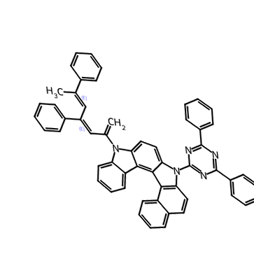 C=C(/C=C(\C=C(/C)c1ccccc1)c1ccccc1)n1c2ccccc2c2c3c4c5ccccc5ccc4n(-c4nc(-c5ccccc5)nc(-c5ccccc5)n4)c3ccc21